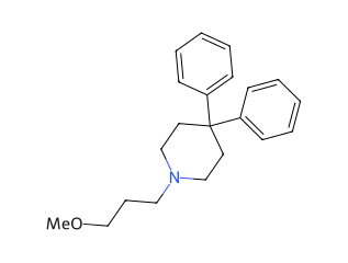 COCCCN1CCC(c2ccccc2)(c2ccccc2)CC1